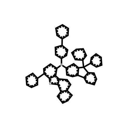 c1ccc(-c2ccc(N(c3ccc4c(c3)C(c3ccccc3)(c3ccccc3)c3ccccc3-4)c3ccc(-c4ccccc4)c4oc5c6ccccc6ccc5c34)cc2)cc1